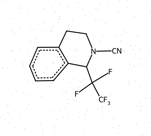 N#CN1CCc2ccccc2C1C(F)(F)C(F)(F)F